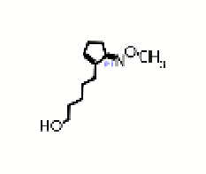 CO/N=C1\CCC=C1CCCCCO